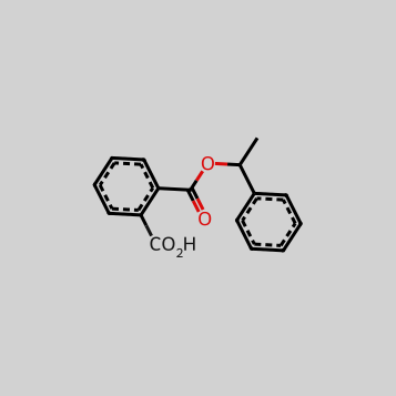 CC(OC(=O)c1ccccc1C(=O)O)c1ccccc1